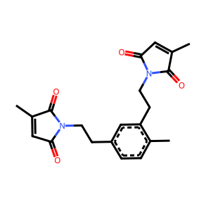 CC1=CC(=O)N(CCc2ccc(C)c(CCN3C(=O)C=C(C)C3=O)c2)C1=O